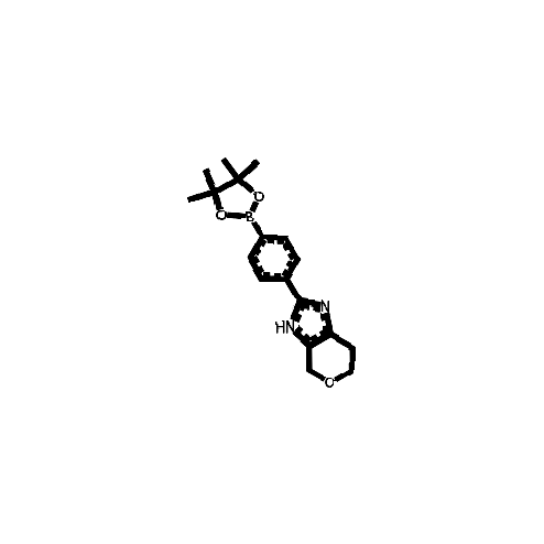 CC1(C)OB(c2ccc(-c3nc4c([nH]3)COCC4)cc2)OC1(C)C